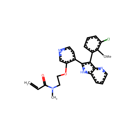 C=CC(=O)N(C)CCOc1cnccc1-c1[nH]c2cccnc2c1-c1cccc(Cl)c1OC